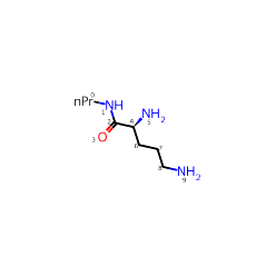 CCCNC(=O)[C@@H](N)CCCN